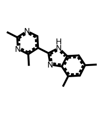 Cc1cc(C)c2nc(-c3cnc(C)nc3C)[nH]c2c1